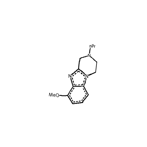 CCCN1CCn2c(nc3c(OC)cccc32)C1